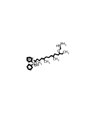 CCC(CC/C(C)=C/CC/C(C)=C/CCC(C)(C)[Si](O)(c1ccccc1)c1ccccc1)OCNP